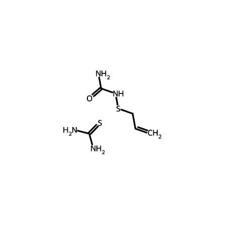 C=CCSNC(N)=O.NC(N)=S